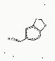 C=Cc1ccc2c(c1)CCO2